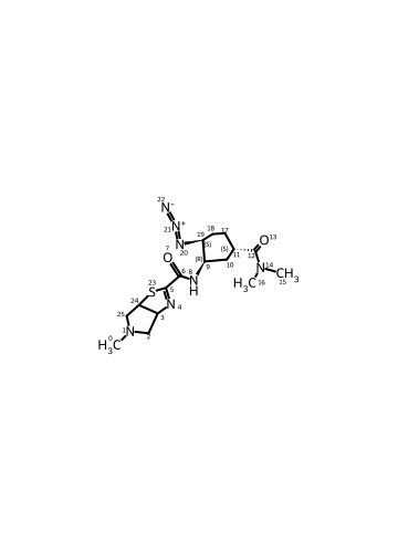 CN1CC2N=C(C(=O)N[C@@H]3C[C@@H](C(=O)N(C)C)CC[C@@H]3N=[N+]=[N-])SC2C1